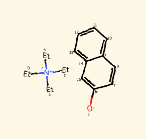 CC[N+](CC)(CC)CC.[O]c1ccc2ccccc2c1